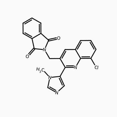 Cn1cncc1-c1nc2c(Cl)cccc2cc1CN1C(=O)c2ccccc2C1=O